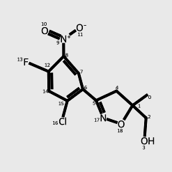 CC1(CO)CC(c2cc([N+](=O)[O-])c(F)cc2Cl)=NO1